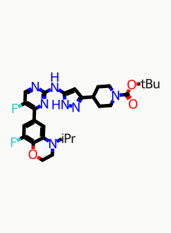 CC(C)N1CCOc2c(F)cc(-c3nc(Nc4cc(C5CCN(C(=O)OC(C)(C)C)CC5)n[nH]4)ncc3F)cc21